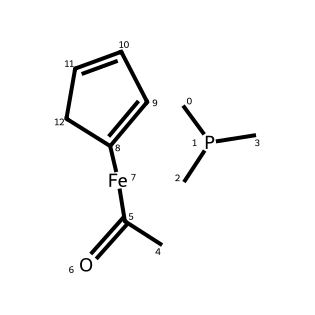 CP(C)C.C[C](=O)[Fe][C]1=CC=CC1